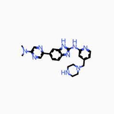 CN(C)c1cnc(-c2ccc3nc(Nc4cc(CN5CCNCC5)ccn4)[nH]c3c2)cn1